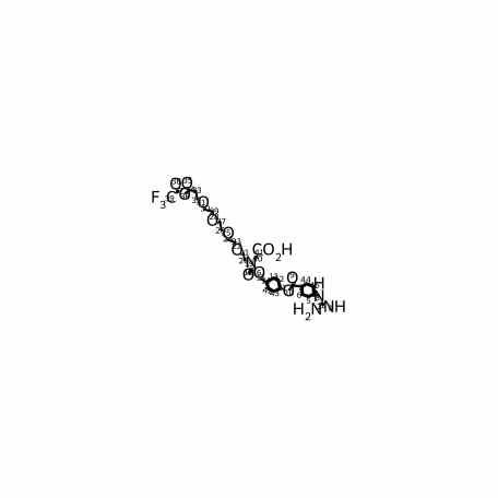 N=C(N)Nc1ccc(C(=O)Oc2ccc(COC(=O)N(CCOCCOCCOCCOCCC(=O)OC(=O)C(F)(F)F)CC(=O)O)cc2)cc1